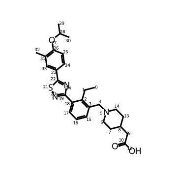 CCc1c(CN2CCC(CC(=O)O)CC2)cccc1-c1nsc(-c2ccc(OC(C)C)c(C)c2)n1